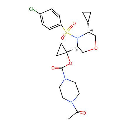 CC(=O)N1CCN(C(=O)OC2([C@H]3COC[C@@H](C4CC4)N3S(=O)(=O)c3ccc(Cl)cc3)CC2)CC1